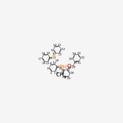 Cc1cccc(CP(c2ccccc2)c2ccccc2)c1Pc1ccccc1OCc1ccccc1